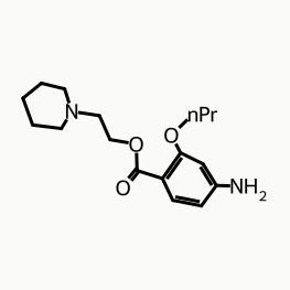 CCCOc1cc(N)ccc1C(=O)OCCN1CCCCC1